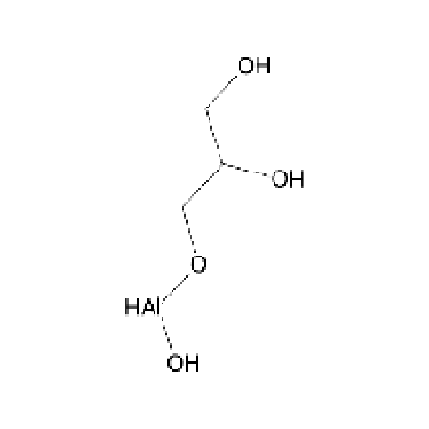 OCC(O)C[O][AlH][OH]